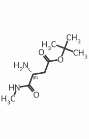 CNC(=O)[C@H](N)CC(=O)OC(C)(C)C